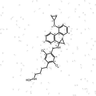 ONCCCCc1cc(Cl)c(CNC2(c3cnccc3-c3ccccc3OC3CC3)CC2)cc1Cl